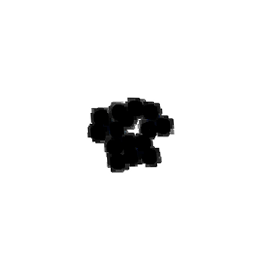 C1=CC2C(C=C1C1=CC3c4ccccc4N(c4cccc(-c5cccc(-c6ccc(-c7cc(-n8c9ccccc9c9ccccc98)cc(-n8c9ccccc9c9ccccc98)c7)c7ccccc67)c5)c4)C3C=C1)c1ccccc1N2c1ccc(-c2ccccc2)cc1